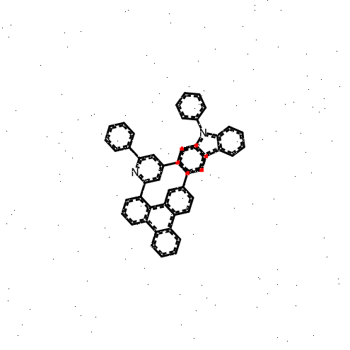 c1ccc(-c2cc(-c3ccccc3)nc(-c3cccc4c5ccccc5c5ccc(-c6ccc7c(c6)c6ccccc6n7-c6ccccc6)cc5c34)c2)cc1